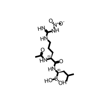 CC(=O)N[C@@H](CCCNC(=N)N[N+](=O)[O-])C(=O)N[C@@H](CC(C)C)B(O)O